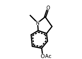 CC(=O)Oc1ccc2c(c1)CC(=O)N2C